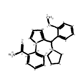 COc1ccccc1C(c1cccn1-c1ccccc1C(N)=S)N1CCCC1